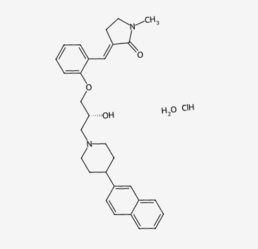 CN1CCC(=Cc2ccccc2OC[C@H](O)CN2CCC(c3ccc4ccccc4c3)CC2)C1=O.Cl.O